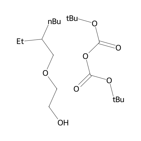 CC(C)(C)OC(=O)OC(=O)OC(C)(C)C.CCCCC(CC)COCCO